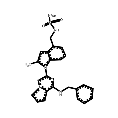 CNS(=O)(=O)NCc1cccc2c1cc(C)n2-c1nc(NCc2ccccc2)c2cccn2n1